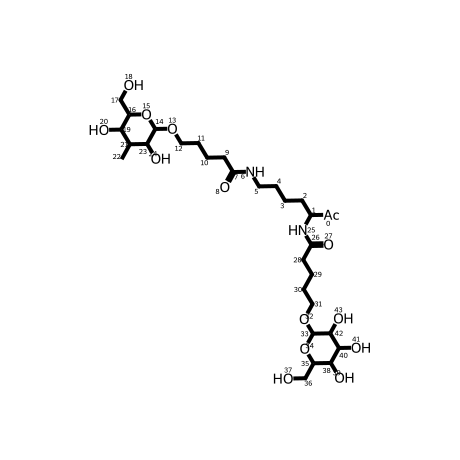 CC(=O)C(CCCCNC(=O)CCCCOC1OC(CO)C(O)C(C)C1O)NC(=O)CCCCOC1OC(CO)C(O)C(O)C1O